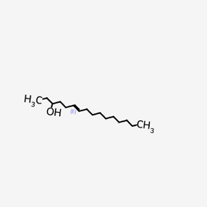 CCCCCCCCC/C=C/CCC(O)CC